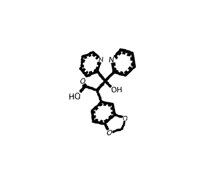 O=C(O)C(c1ccc2c(c1)OCO2)C(O)(c1ccccn1)c1ccccn1